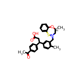 CC(=O)c1ccc(C(CC(=O)O)c2ccc(C)c(CN3C[C@@H](C)Oc4ccccc4S3)c2)cc1